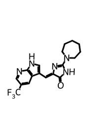 O=C1NC(N2CCCCCC2)=N/C1=C\c1c[nH]c2ncc(C(F)(F)F)cc12